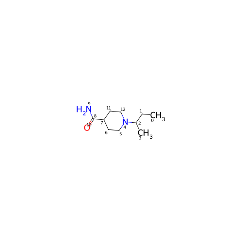 CCC(C)N1CCC(C(N)=O)CC1